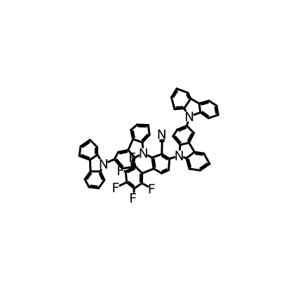 N#Cc1c(-n2c3ccccc3c3cc(-n4c5ccccc5c5ccccc54)ccc32)ccc(-c2c(F)c(F)c(F)c(F)c2F)c1-n1c2ccccc2c2cc(-n3c4ccccc4c4ccccc43)ccc21